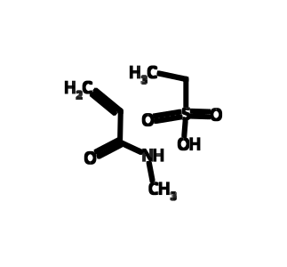 C=CC(=O)NC.CCS(=O)(=O)O